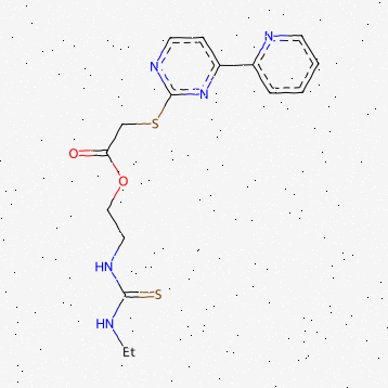 CCNC(=S)NCCOC(=O)CSc1nccc(-c2ccccn2)n1